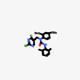 COc1ccc(N(Cc2cnc(Cl)nc2Cl)C(=O)Nc2c(C)cccc2C)c(OC)c1